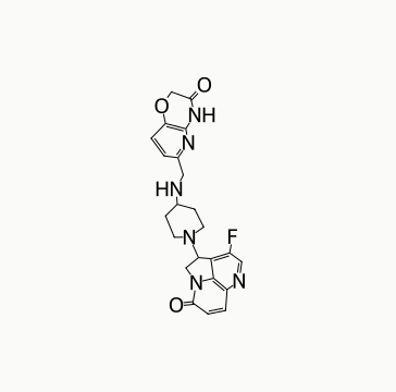 O=C1COc2ccc(CNC3CCN(C4Cn5c(=O)ccc6ncc(F)c4c65)CC3)nc2N1